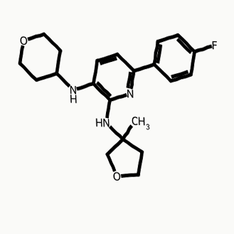 CC1(Nc2nc(-c3ccc(F)cc3)ccc2NC2CCOCC2)CCOC1